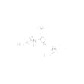 Cc1oc(C2CCCCC2)nc1CCOc1ccc(CCC(=O)O)c(CNC(=O)OC(C)C)c1